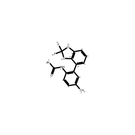 Cc1ccc(NC(=O)C(C)C)c(-c2cccc3c2OC(F)(F)O3)c1